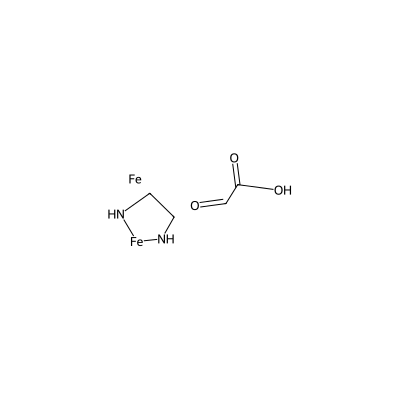 C1C[NH][Fe][NH]1.O=CC(=O)O.[Fe]